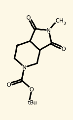 CN1C(=O)C2CCN(C(=O)OC(C)(C)C)CC2C1=O